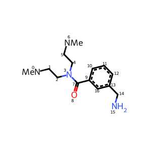 CNCCN(CCNC)C(=O)c1cccc(CN)c1